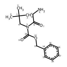 CC(C)(C)CN(C(=O)CN)C(=O)OCc1ccccc1